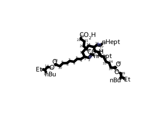 CCCCCCC/C=C/C(CCCCCCCC(=O)OCC(CC)CCCC)CC(CCCC(=O)O)(CC(/C=C/CCCCCCC)CCCCCCCC(=O)OCC(CC)CCCC)C(=O)O